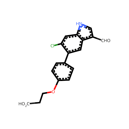 O=Cc1c[nH]c2cc(Cl)c(-c3ccc(OCCC(=O)O)cc3)cc12